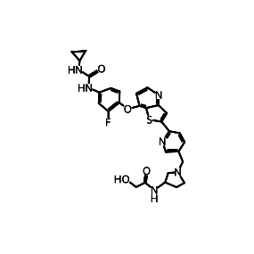 O=C(CO)NC1CCN(Cc2ccc(-c3cc4nccc(Oc5ccc(NC(=O)NC6CC6)cc5F)c4s3)nc2)C1